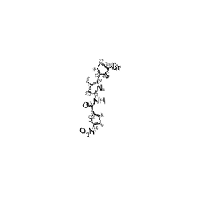 Cc1sc(NC(=O)c2ccc([N+](=O)[O-])s2)nc1-c1ccc(Br)s1